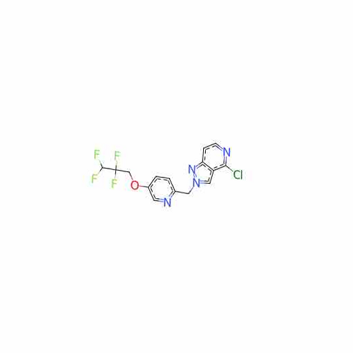 FC(F)C(F)(F)COc1ccc(Cn2cc3c(Cl)nccc3n2)nc1